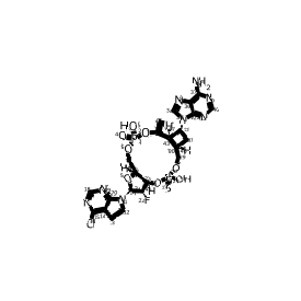 C=C1OP(=O)(O)OC[C@H]2O[C@@H](n3ccc4c(Cl)ncnc43)[C@@H](F)[C@@H]2OP(O)(=S)OC[C@H]2C[C@@H](n3cnc4c(N)ncnc43)[C@H]12